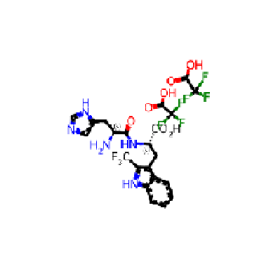 N[C@@H](Cc1cnc[nH]1)C(=O)N[C@@H](Cc1c(C(F)(F)F)[nH]c2ccccc12)C(=O)O.O=C(O)C(F)(F)F.O=C(O)C(F)(F)F